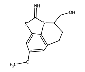 N=c1sc2cc(OC(F)(F)F)cc3c2n1C(CO)CC3